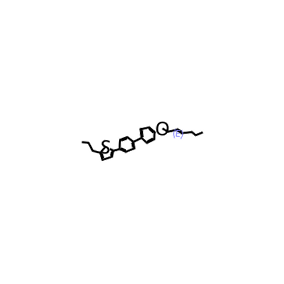 CCC/C=C/COc1ccc(-c2ccc(-c3ccc(CCC)s3)cc2)cc1